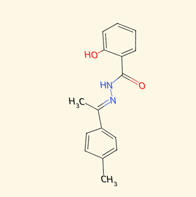 C/C(=N\NC(=O)c1ccccc1O)c1ccc(C)cc1